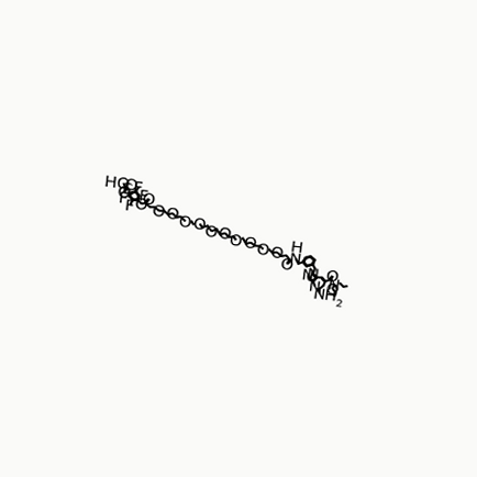 CCCN(OCC)C(=O)C1=Cc2c(cnn2Cc2cccc(CNC(=O)CCOCCOCCOCCOCCOCCOCCOCCOCCOCCOCCC(=O)Oc3c(F)c(F)c(S(=O)(=O)O)c(F)c3F)c2)N=C(N)C1